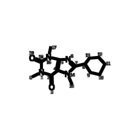 Cn1c(=O)c2c(nc(C3CCCCC3)n2C)n(C)c1=O